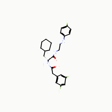 O=C(Cc1cc(F)cc(F)c1)N[C@@H](CC1CCCCC1)C(=O)NCCNc1ccc(F)cc1